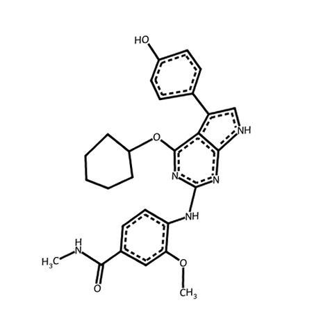 CNC(=O)c1ccc(Nc2nc(OC3CCCCC3)c3c(-c4ccc(O)cc4)c[nH]c3n2)c(OC)c1